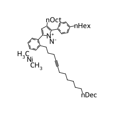 CCCCCCCCCCCCCCCCC#CCCCc1ccccc1C1=CC(CCCCCCCC)=C(c2ccc(CCCCCC)cc2)[N+]1=[N-].[CH3][Ni][CH3]